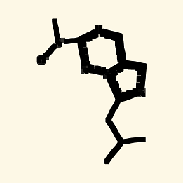 CC(C)Cc1ncc2cnc([S+](C)[O-])nn12